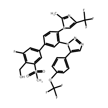 Cc1nc(C(F)(F)F)cn1-c1ccc(-c2cc(F)c(CO)c(S(C)(=O)=O)c2)cc1-n1nncc1-c1ccc(OC(F)(F)F)cc1